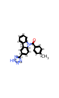 Cc1ccc(C(=O)n2c3ccccc3c3cc(-c4nn[nH]n4)ccc32)cc1